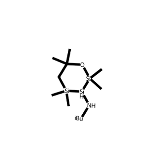 CCC(C)N[SiH]1[Si](C)(C)CC(C)(C)O[Si]1(C)C